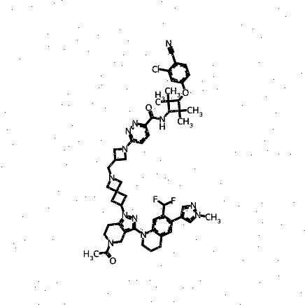 CC(=O)N1CCc2c(c(N3CCCc4cc(-c5cnn(C)c5)c(C(F)F)cc43)nn2C2CC3(C2)CN(CC2CN(c4ccc(C(=O)NC5C(C)(C)C(Oc6ccc(C#N)c(Cl)c6)C5(C)C)nn4)C2)C3)C1